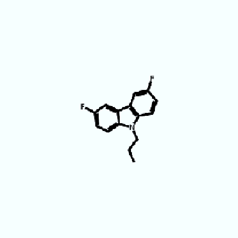 CCCn1c2ccc(F)cc2c2cc(F)ccc21